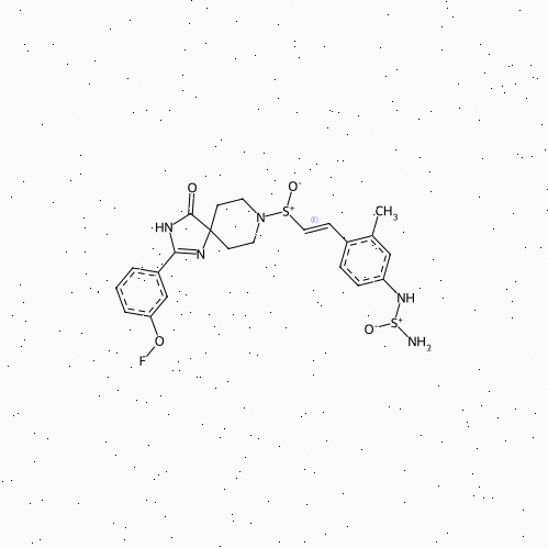 Cc1cc(N[S+](N)[O-])ccc1/C=C/[S+]([O-])N1CCC2(CC1)N=C(c1cccc(OF)c1)NC2=O